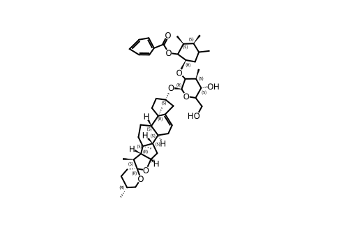 CC1C[C@@H](OC2[C@H](O[C@H]3CC[C@@]4(C)C(=CC[C@H]5[C@@H]6C[C@@H]7O[C@]8(CC[C@@H](C)CO8)[C@@H](C)[C@@H]7[C@@]6(C)CC[C@@H]54)C3)OC(CO)[C@@H](O)[C@@H]2C)C(OC(=O)c2ccccc2)[C@@H](C)[C@H]1C